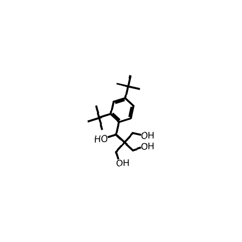 CC(C)(C)c1ccc(C(O)C(CO)(CO)CO)c(C(C)(C)C)c1